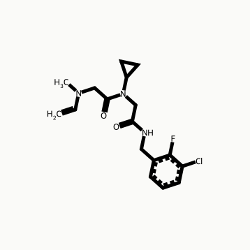 C=CN(C)CC(=O)N(CC(=O)NCc1cccc(Cl)c1F)C1CC1